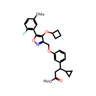 COC(=O)CC(c1cccc(OCc2noc(-c3cc(OC)ccc3F)c2OC2CCC2)c1)C1CC1